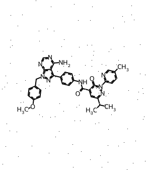 COc1ccc(Cn2nc(-c3ccc(NC(=O)c4cc(C(C)C)nn(-c5ccc(C)cn5)c4=O)cc3)c3c(N)ncnc32)cc1